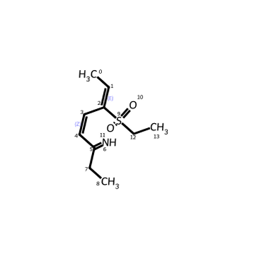 C/C=C(\C=C/C(=N)CC)S(=O)(=O)CC